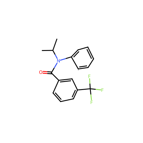 CC(C)N(C(=O)c1cccc(C(F)(F)F)c1)c1[c]cccc1